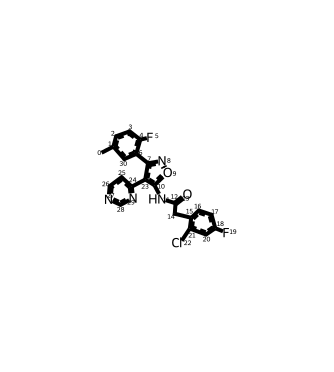 Cc1ccc(F)c(-c2noc(NC(=O)Cc3ccc(F)cc3Cl)c2-c2ccncn2)c1